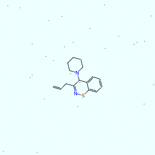 C=CCC1=NSc2ccccc2C1N1CCCCC1